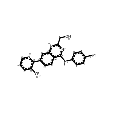 CC(C)c1ccc(Nc2nc(CO)nc3cc(-c4ncccc4C(F)(F)F)ccc23)cc1